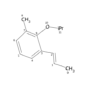 C/C=C/c1cccc(C)c1OC(C)C